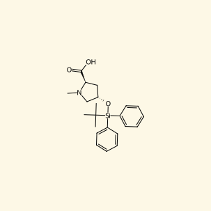 CN1C[C@@H](O[Si](c2ccccc2)(c2ccccc2)C(C)(C)C)C[C@@H]1C(=O)O